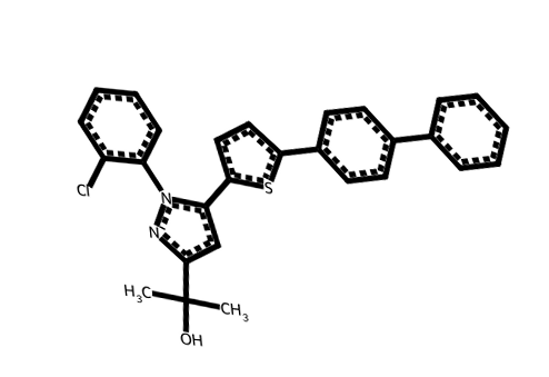 CC(C)(O)c1cc(-c2ccc(-c3ccc(-c4ccccc4)cc3)s2)n(-c2ccccc2Cl)n1